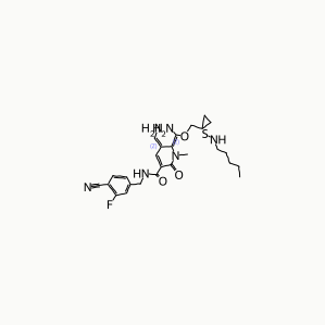 CCCCCNSC1(CO/C(N)=c2/c(=C\N)cc(C(=O)NCc3ccc(C#N)c(F)c3)c(=O)n2C)CC1